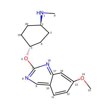 CN[C@H]1CC[C@H](Oc2ncc3ccc(OC)cc3n2)CC1